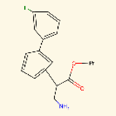 CC(C)OC(=O)C(CN)c1cccc(-c2cccc(F)c2)c1